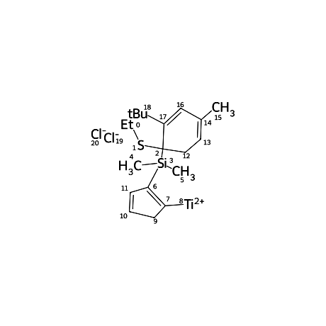 CCSC1([Si](C)(C)C2=[C]([Ti+2])CC=C2)CC=C(C)C=C1C(C)(C)C.[Cl-].[Cl-]